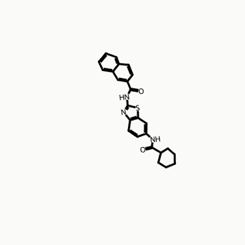 O=C(Nc1nc2ccc(NC(=O)C3CCCCC3)cc2s1)c1ccc2ccccc2c1